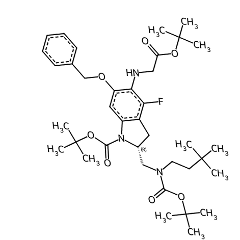 CC(C)(C)CCN(C[C@H]1Cc2c(cc(OCc3ccccc3)c(NCC(=O)OC(C)(C)C)c2F)N1C(=O)OC(C)(C)C)C(=O)OC(C)(C)C